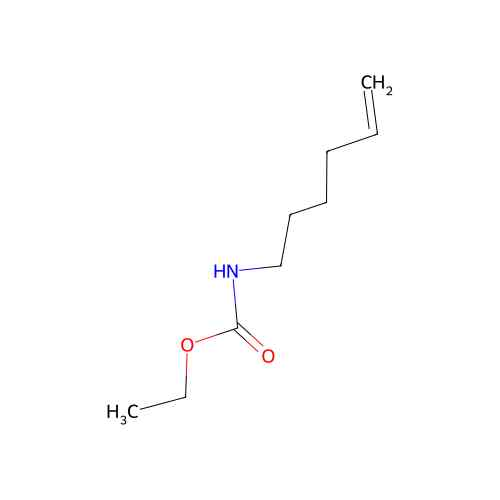 C=CCCCCNC(=O)OCC